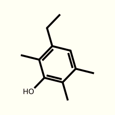 CCc1cc(C)c(C)c(O)c1C